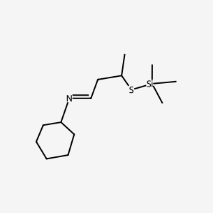 CC(CC=NC1CCCCC1)S[Si](C)(C)C